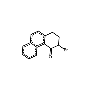 O=C1c2c(ccc3ccccc23)CCC1Br